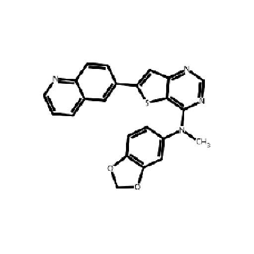 CN(c1ccc2c(c1)OCO2)c1ncnc2cc(-c3ccc4ncccc4c3)sc12